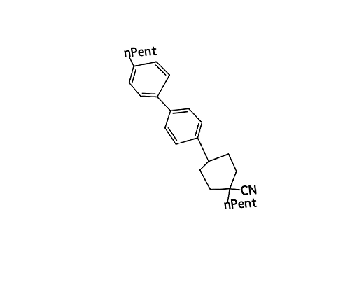 CCCCCc1ccc(-c2ccc(C3CCC(C#N)(CCCCC)CC3)cc2)cc1